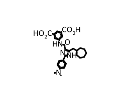 CN(C)c1ccc(-c2nc(C(=O)Nc3cc(C(=O)O)cc(C(=O)O)c3)c(CC3CCCCCC3)[nH]2)cc1